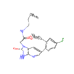 COCCNC(=O)Cn1c(=O)[nH]c2ncc(-c3ccc(F)cc3OC)cc21